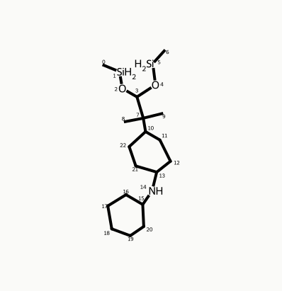 C[SiH2]OC(O[SiH2]C)C(C)(C)C1CCC(NC2CCCCC2)CC1